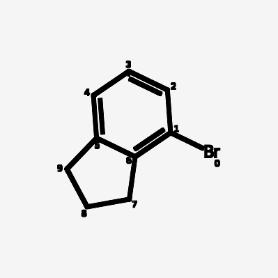 Brc1c[c]cc2c1CCC2